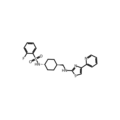 O=S(=O)(N[C@H]1CC[C@H](CNc2nc(-c3ccccn3)cs2)CC1)c1ccccc1F